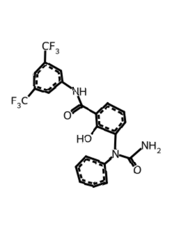 NC(=O)N(c1ccccc1)c1cccc(C(=O)Nc2cc(C(F)(F)F)cc(C(F)(F)F)c2)c1O